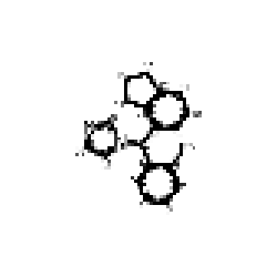 Fc1ccccc1C(c1cccc2c1CCC2)n1ccnc1